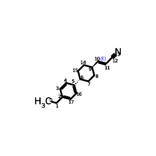 CCc1ccc([C@H]2CC[C@H](/C=C/C#N)CC2)cc1